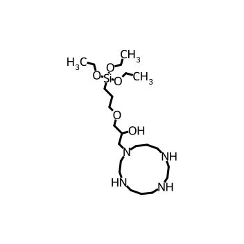 CCO[Si](CCCOCC(O)CN1CCCNCCNCCCNCC1)(OCC)OCC